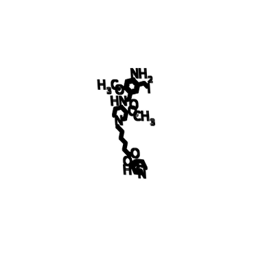 COc1cc(N)c(CI)cc1C(=O)N[C@H]1CCN(CCCCCC(=O)O[C@H]2CN3CCC2CC3)C[C@H]1OC